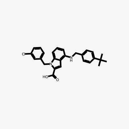 CC(C)(C)c1ccc(CNc2cccc3c2cc(C(=O)O)n3Cc2cccc(Cl)c2)cc1